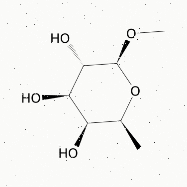 CO[C@H]1O[C@@H](C)[C@@H](O)[C@@H](O)[C@@H]1O